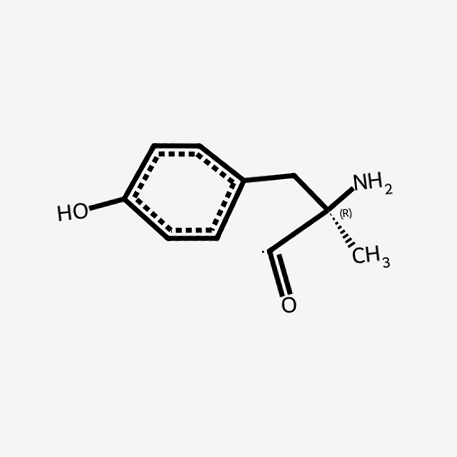 C[C@](N)([C]=O)Cc1ccc(O)cc1